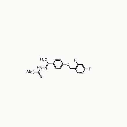 CSC(=S)NN=C(C)c1ccc(OCc2ccc(F)cc2F)cc1